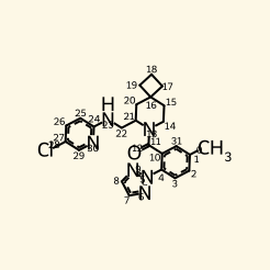 Cc1ccc(-n2nccn2)c(C(=O)N2CCC3(CCC3)CC2CNc2ccc(Cl)cn2)c1